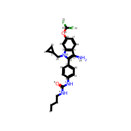 CCCCNC(=O)Nc1ccc(-c2c(N)c3ccc(OC(F)F)cc3n2CC2CC2)cc1